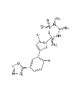 CN1C(=N)N[C@](C)(c2sc(-c3cc(-c4nnco4)ccc3F)cc2Cl)CS1(=O)=O